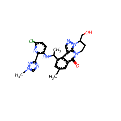 Cc1cc(C(C)Nc2ccc(Cl)nc2-c2ncn(C)n2)c2c(c1)c(=O)n1c3c2cnn3C(CO)CC1